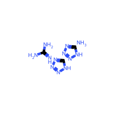 N.N=C(N)N.c1nnn[nH]1.c1nnn[nH]1